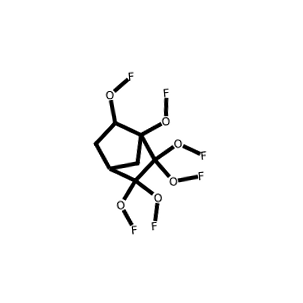 FOC1CC2CC1(OF)C(OF)(OF)C2(OF)OF